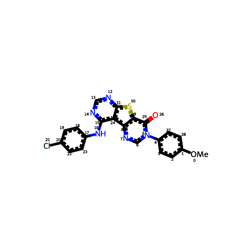 COc1ccc(-n2cnc3c(sc4ncnc(Nc5ccc(Cl)cc5)c43)c2=O)cc1